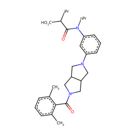 CCCN(C(=O)C(C(=O)O)C(C)C)c1cccc(N2CC3CN(C(=O)c4c(C)cccc4C)CC3C2)c1